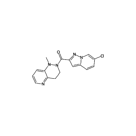 CN1c2cccnc2CCN1C(=O)c1cc2ccc(Cl)cn2n1